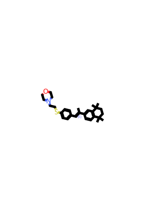 C/C(=C\c1ccc(SCCN2CCOCC2)cc1)c1ccc2c(c1)C(C)(C)CCC2(C)C